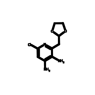 Nc1cc(Cl)nc(CC2OCCO2)c1N